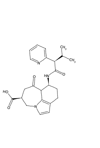 CC(C)[C@@H](C(=O)N[C@H]1CCc2ccn3c2C1C(=O)C[C@H](C(=O)O)C3)c1ccccn1